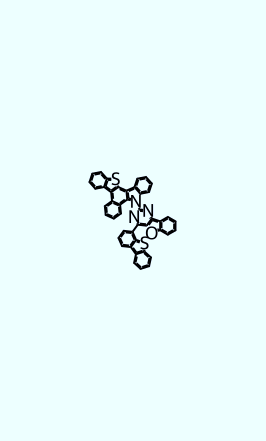 c1ccc2c(c1)oc1c(-c3cccc4c3sc3ccccc34)nc(-n3c4ccccc4c4c5sc6ccccc6c5c5ccccc5c43)nc12